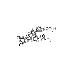 NC(=O)CCN1CCN(Cc2cc(Oc3cnc(N4CCN(CCC(=O)O)CC4)nc3)nc(-c3cc(Cl)cc(Cl)c3)c2)CC1